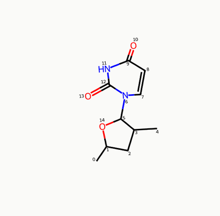 CC1CC(C)C(n2ccc(=O)[nH]c2=O)O1